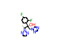 C[C@@H](n1nccn1)[C@](O)(Cn1cncn1)c1ccc(F)cc1F